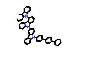 C/C=C\c1c(C)c2ccccc2n1-c1cccc2c1c1ccccc1n2-c1ccc2c(c1)c1ccccc1n2-c1ccc(-c2ccc(C3=CC=CCC3)cc2)cc1